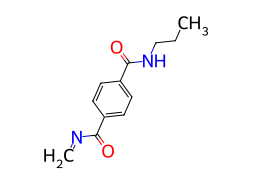 C=NC(=O)c1ccc(C(=O)NCCC)cc1